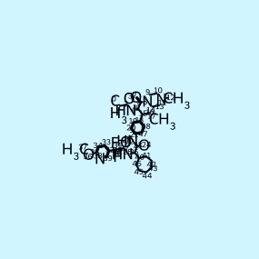 CCC(=O)NC(C(=O)N1CCN(C)CC1)C(CC)c1ccc(NC(=O)C(NC(=O)C(F)(F)c2ccc(OC)nc2)C2CCCCCC2)cc1